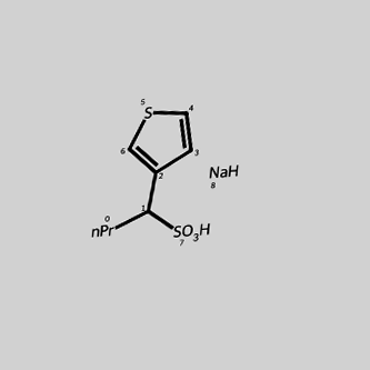 CCCC(c1ccsc1)S(=O)(=O)O.[NaH]